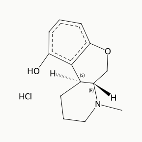 CN1CCC[C@H]2c3c(O)cccc3OC[C@@H]21.Cl